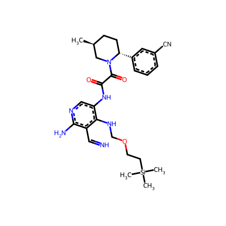 C[C@H]1CC[C@H](c2cccc(C#N)c2)N(C(=O)C(=O)Nc2cnc(N)c(C=N)c2NCOCC[Si](C)(C)C)C1